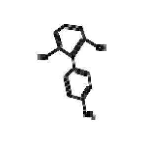 Nc1ccc(-c2c(O)cccc2O)cc1